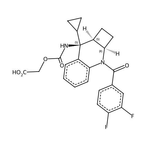 O=C(O)COC(=O)N[C@]1(C2CC2)c2ccccc2N(C(=O)c2ccc(F)c(F)c2)[C@@H]2CC[C@@H]21